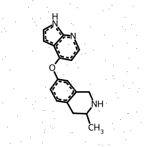 CC1Cc2ccc(Oc3ccnc4[nH]ccc34)cc2CN1